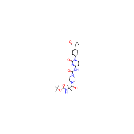 CC(C)(C)OC(=O)NC(C)(C)C(=O)N1CCN(C(=O)Nc2ccn(-c3ccc(C4(C=O)CC4)cc3)c(=O)n2)CC1